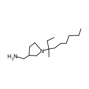 CCCCCCC(C)(CC)N1CCC(CN)C1